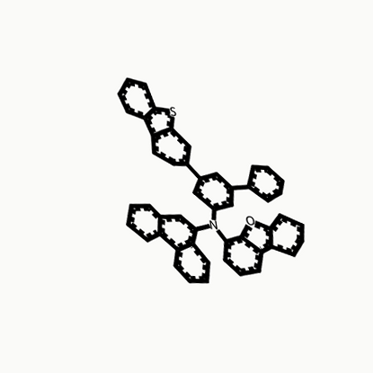 c1ccc(-c2cc(-c3ccc4c(c3)sc3ccccc34)cc(N(c3cc4ccccc4c4ccccc34)c3cccc4c3oc3ccccc34)c2)cc1